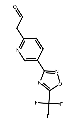 O=CCc1ccc(-c2noc(C(F)(F)F)n2)cn1